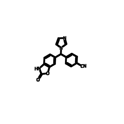 N#Cc1ccc(C(c2ccc3[nH]c(=O)oc3c2)n2ccnc2)cc1